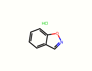 Cl.c1ccc2oncc2c1